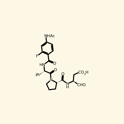 CC(=O)Nc1ccc(C(=O)N[C@H](C(=O)N2CCC[C@H]2C(=O)N[C@H](C=O)CC(=O)O)C(C)C)c(F)c1